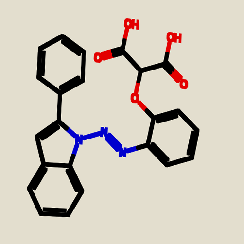 O=C(O)C(Oc1ccccc1/N=N/n1c(-c2ccccc2)cc2ccccc21)C(=O)O